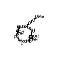 COCCOCCOCCN1CCNC(=O)c2ccc(c(O)c2O)C(=O)NCCNCCNC(=O)c2ccc(c(O)c2O)C(=O)NCC1